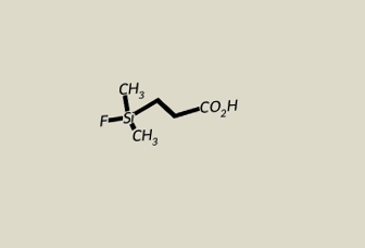 C[Si](C)(F)CCC(=O)O